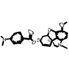 COc1ccc2c3c1OC1C[C@@H](OC(=O)c4ccc(N(C)C)cc4)C=C[C@@]31CCN2C